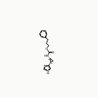 O=C(N[C@@H]1C[C@H]1c1c[nH]cn1)OCCCc1ccccc1